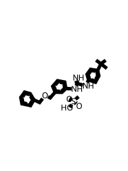 CC(C)(C)c1ccc(NC(=N)Nc2cccc(COCc3ccccc3)c2)cc1.CS(=O)(=O)O